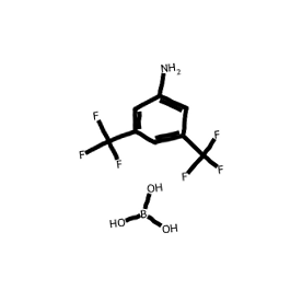 Nc1cc(C(F)(F)F)cc(C(F)(F)F)c1.OB(O)O